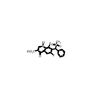 CCOC(=O)c1cn(CC)c2c(F)c(C(c3ccccc3)S(C)(=O)=O)c(F)cc2c1=O